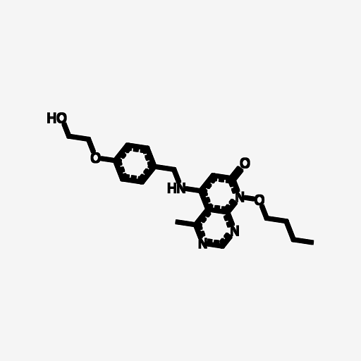 CCCCOn1c(=O)cc(NCc2ccc(OCCO)cc2)c2c(C)ncnc21